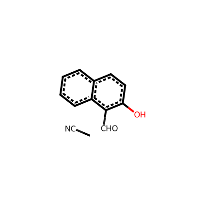 CC#N.O=Cc1c(O)ccc2ccccc12